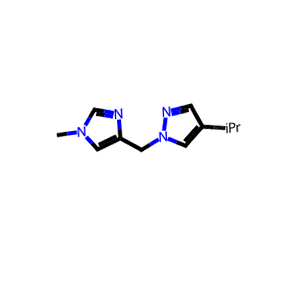 CC(C)c1cnn(Cc2cn(C)cn2)c1